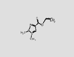 CCOC(=O)C1=NN(C)S(C)=C1